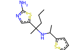 CCCC(C)(NC(C)c1cccs1)c1cnc(N)s1